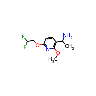 COc1nc(OCC(F)F)ccc1C(C)N